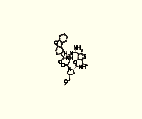 COC[C@@H]1C[C@@H](C(=O)N[C@H](C)c2cc(C(N)N)cs2)N(C(=O)CNC(=O)c2ccc3oc4ccccc4c3c2)C1